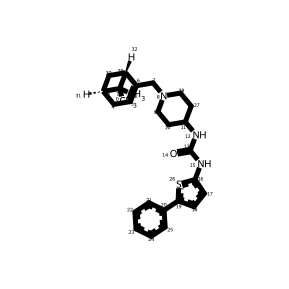 CC1(C)[C@H]2CC=C(CN3CCC(NC(=O)Nc4ccc(-c5ccccc5)s4)CC3)[C@H]1C2